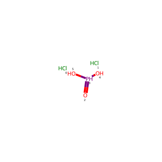 Cl.Cl.O=[PH](O)O